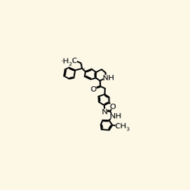 [CH2]C[C](c1ccccc1)c1ccc2c(c1)CCNC2C(=O)Cc1ccc2nc(Nc3ccccc3C)oc2c1